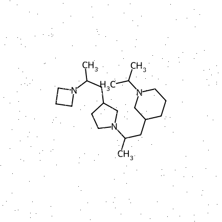 CC(C)N1CCCC(CC(C)N2CCC(CC(C)N3CCC3)C2)C1